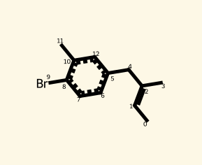 CC=C(C)Cc1ccc(Br)c(C)c1